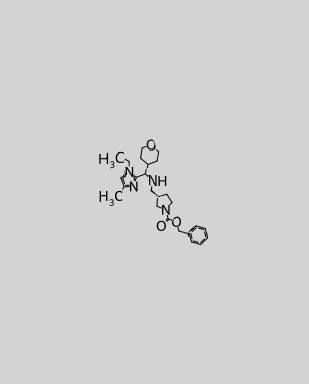 CCn1cc(C)nc1[C@H](NC[C@H]1CCN(C(=O)OCc2ccccc2)C1)C1CCOCC1